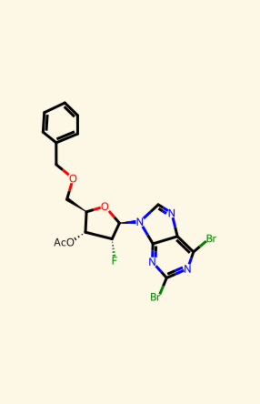 CC(=O)O[C@H]1[C@@H](F)[C@H](n2cnc3c(Br)nc(Br)nc32)O[C@@H]1COCc1ccccc1